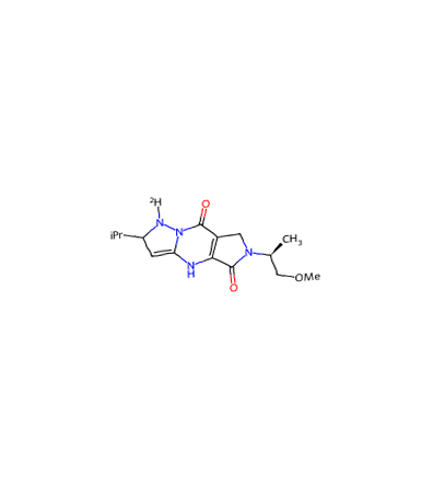 [2H]N1C(C(C)C)C=C2NC3=C(CN([C@@H](C)COC)C3=O)C(=O)N21